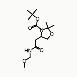 COCNC(=O)CC1COC(C)(C)N1C(=O)OC(C)(C)C